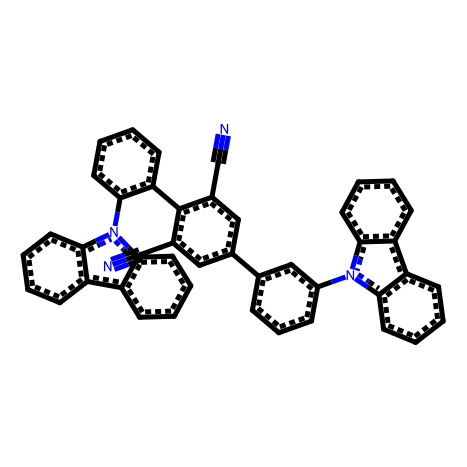 N#Cc1cc(-c2cccc(-n3c4ccccc4c4ccccc43)c2)cc(C#N)c1-c1ccccc1-n1c2ccccc2c2ccccc21